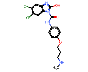 CNCCCOc1ccc(NC(=O)n2c(O)nc3cc(Cl)c(Cl)cc32)cc1